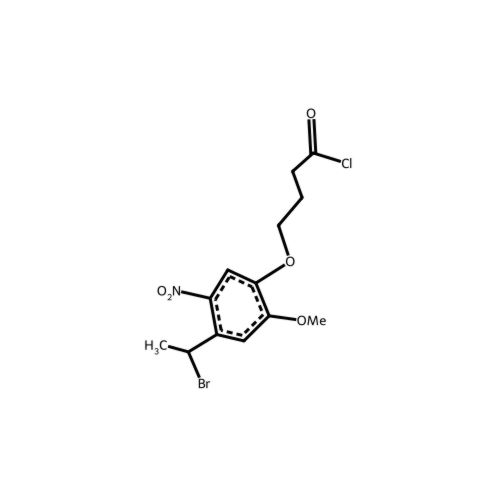 COc1cc(C(C)Br)c([N+](=O)[O-])cc1OCCCC(=O)Cl